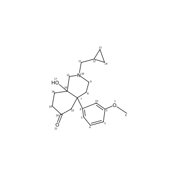 COc1cccc(C23CCN(CC4CC4)CC2(O)CCC(=O)C3)c1